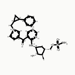 C[C@@H]1[C@@H](COS(N)(=O)=O)C[C@@H](Nc2ncncc2C(=O)c2ccn(CC3CC3c3ccccc3)c2)[C@H]1F